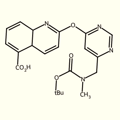 CN(Cc1cc(OC2=NC3C=CC=C(C(=O)O)C3C=C2)ncn1)C(=O)OC(C)(C)C